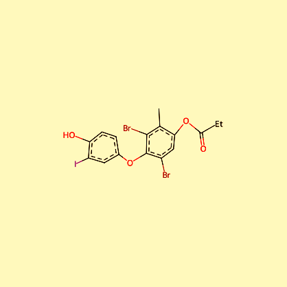 CCC(=O)Oc1cc(Br)c(Oc2ccc(O)c(I)c2)c(Br)c1C